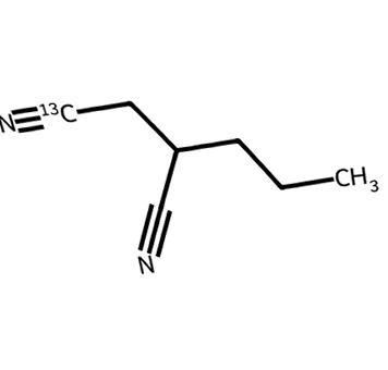 CCCC(C#N)C[13C]#N